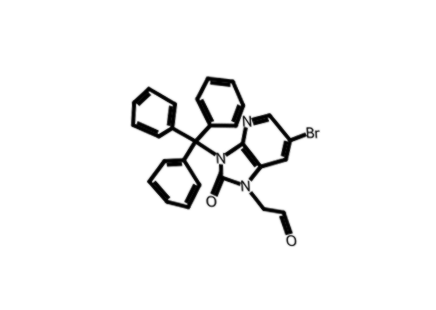 O=CCn1c(=O)n(C(c2ccccc2)(c2ccccc2)c2ccccc2)c2ncc(Br)cc21